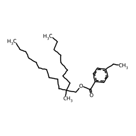 CCCCCCCCCCC(C)(CCCCCCCC)COC(=O)c1ccc(CC)cc1